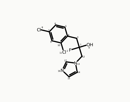 OC(F)(Cc1ccc(Cl)cc1Cl)Cn1ccnc1